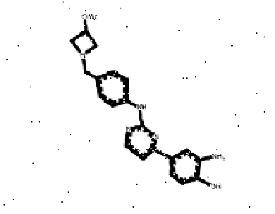 COC1CN(Cc2ccc(Nc3nccc(-c4ccc(O)c(N)c4)n3)cc2)C1